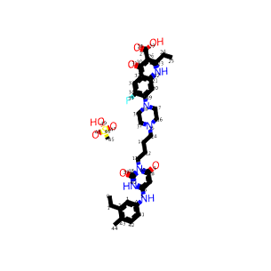 CCc1cc(Nc2cc(=O)n(CCCCN3CCN(c4cc5[nH]c(CC)c(C(=O)O)c(=O)c5cc4F)CC3)c(=O)[nH]2)ccc1C.CS(=O)(=O)O